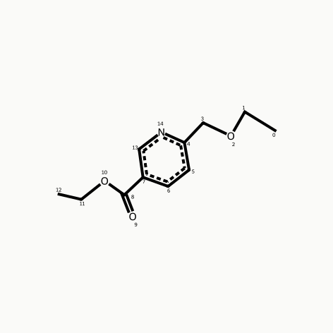 CCOCc1ccc(C(=O)OCC)cn1